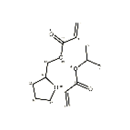 C=CC(=O)OC(C)C.C=CC(=O)OCC1CCCO1